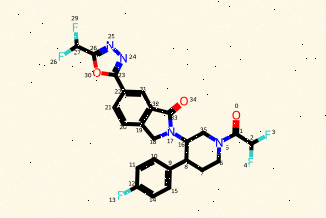 O=C(C(F)F)N1CCC(c2ccc(F)cc2)C(N2Cc3ccc(-c4nnc(C(F)F)o4)cc3C2=O)C1